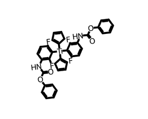 O=C(Nc1ccc(F)[c]([Ti]([C]2=CC=CC2)([C]2=CC=CC2)[c]2c(F)ccc(NC(=O)Oc3ccccc3)c2F)c1F)Oc1ccccc1